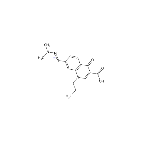 CCCn1cc(C(=O)O)c(=O)c2ccc(/N=N/N(C)C)cc21